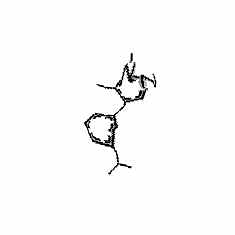 Cc1c(-c2cccc(C(C)C)c2)cnn1C